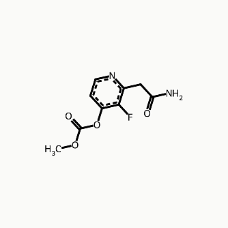 COC(=O)Oc1ccnc(CC(N)=O)c1F